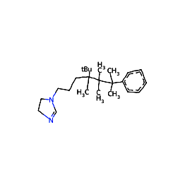 CC(C)(C)C(C)(CCCN1C=NCC1)C(C)(C)C(C)(C)c1ccccc1